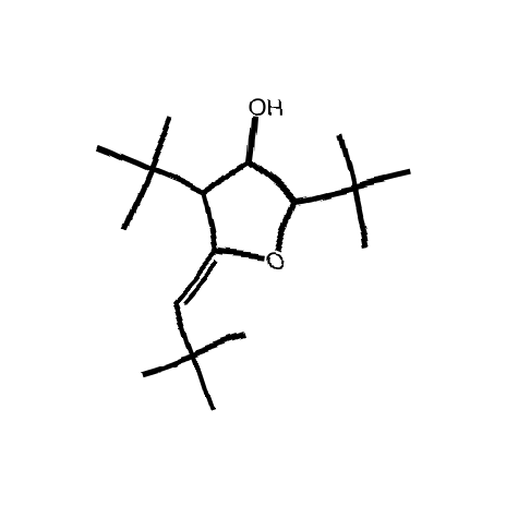 CC(C)(C)/C=C1\OC(C(C)(C)C)C(O)C1C(C)(C)C